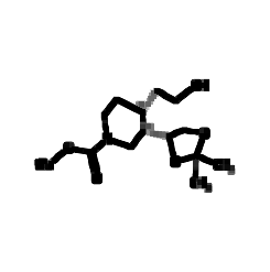 CC(C)(C)OC(=O)N1CC[C@H](CCO)[C@H](C2COC(C)(C)O2)C1